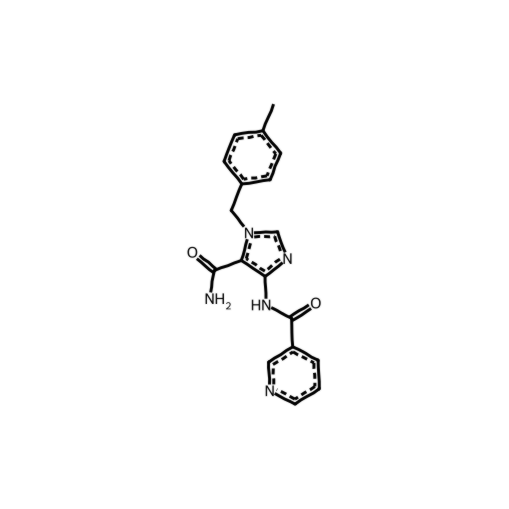 Cc1ccc(Cn2cnc(NC(=O)c3cccnc3)c2C(N)=O)cc1